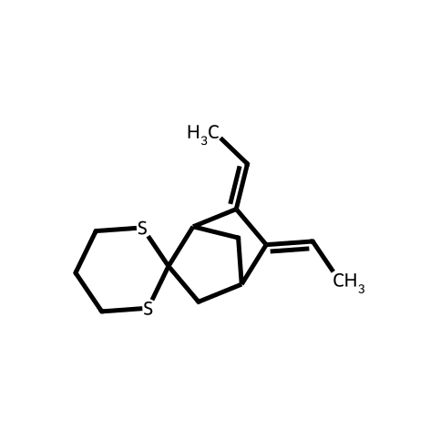 CC=C1C(=CC)C2CC1CC21SCCCS1